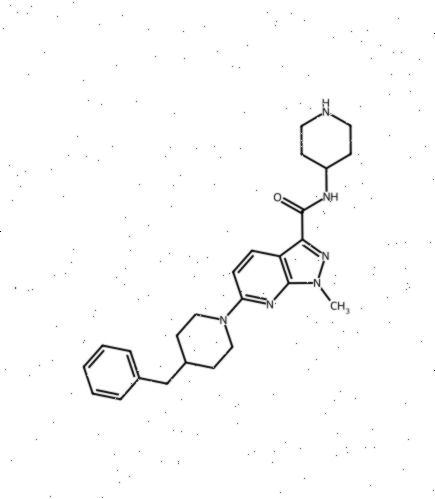 Cn1nc(C(=O)NC2CCNCC2)c2ccc(N3CCC(Cc4ccccc4)CC3)nc21